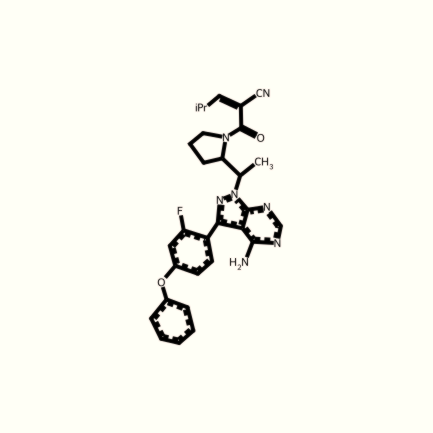 CC(C)/C=C(/C#N)C(=O)N1CCCC1C(C)n1nc(-c2ccc(Oc3ccccc3)cc2F)c2c(N)ncnc21